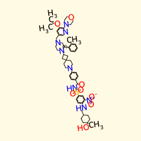 Cc1ccccc1[C@@H]1CN(Cc2cnc(N3CCOCC3)c(OC(C)C)c2)CCN1C1CC2(CCN(c3ccc(C(=O)NS(=O)(=O)c4ccc(NCC5CCC(C)(O)CC5)c([N+](=O)[O-])c4)cc3)CC2)C1